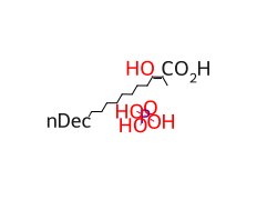 CCCCCCCCCCCCCCCCCCC(O)=C(C)C(=O)O.O=P(O)(O)O